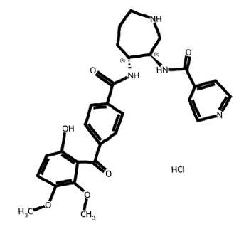 COc1ccc(O)c(C(=O)c2ccc(C(=O)N[C@@H]3CCCNC[C@H]3NC(=O)c3ccncc3)cc2)c1OC.Cl